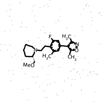 COC[C@@H]1CCCCN1CCc1c(C)cc(-c2c(C)noc2C)cc1F